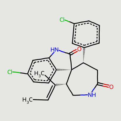 C/C=C(\C)[C@H]1CNC(=O)C[C@@H](c2cccc(Cl)c2)[C@]12C(=O)Nc1cc(Cl)ccc12